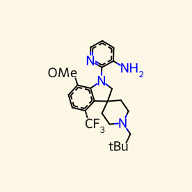 COc1ccc(C(F)(F)F)c2c1N(c1ncccc1N)CC21CCN(CC(C)(C)C)CC1